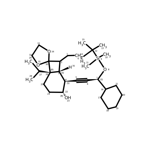 CCC1[C@@H]2[C@@H](C#C[C@@H](O[Si](C)(C)C(C)(C)C)C3CCCCC3)[C@H](O)CC[C@]2(C(C)C)C12OCCO2